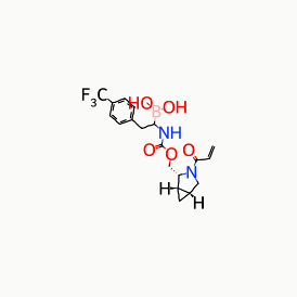 C=CC(=O)N1C[C@@H]2C[C@@H]2[C@@H]1COC(=O)NC(Cc1ccc(C(F)(F)F)cc1)B(O)O